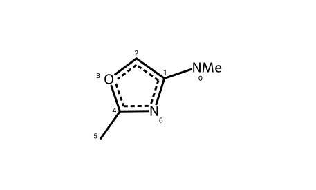 CNc1coc(C)n1